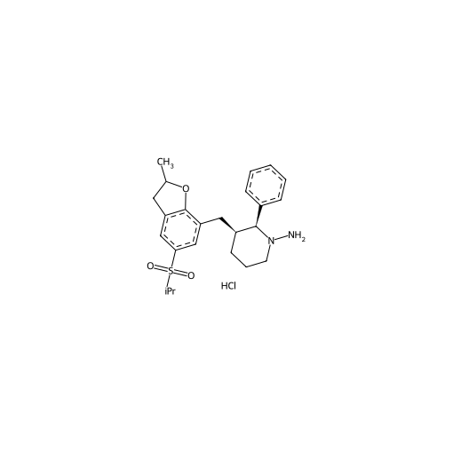 CC1Cc2cc(S(=O)(=O)C(C)C)cc(C[C@@H]3CCCN(N)[C@@H]3c3ccccc3)c2O1.Cl